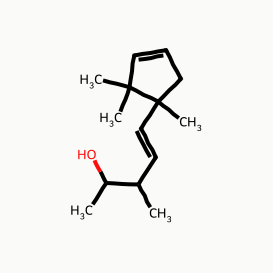 CC(O)C(C)C=CC1(C)CC=CC1(C)C